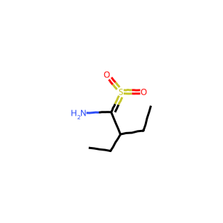 CCC(CC)C(N)=S(=O)=O